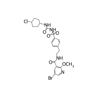 COc1ncc(Br)cc1C(=O)NCCc1ccc(S(=O)(=O)NC(=O)NC2CCC(Cl)CC2)cc1